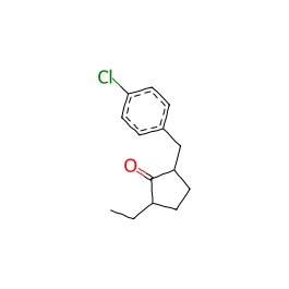 CCC1CCC(Cc2ccc(Cl)cc2)C1=O